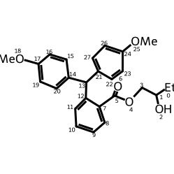 CCC(O)COC(=O)c1ccccc1C(c1ccc(OC)cc1)c1ccc(OC)cc1